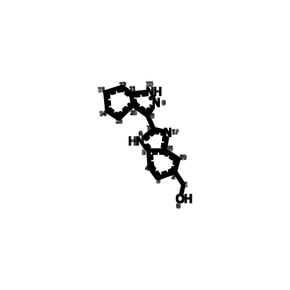 OCc1ccc2[nH]c(-c3n[nH]c4ccccc34)nc2c1